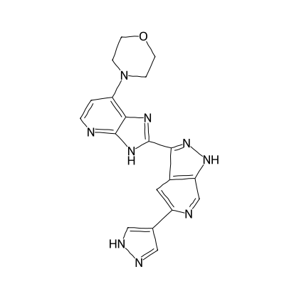 c1cc(N2CCOCC2)c2nc(-c3n[nH]c4cnc(-c5cn[nH]c5)cc34)[nH]c2n1